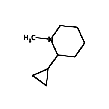 CN1CCCCC1C1CC1